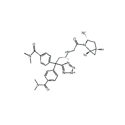 C[C@H](CC(c1ccc(C(=O)N(C)C)cc1)(c1ccc(C(=O)N(C)C)cc1)c1nn[nH]n1)NCC(=O)N1[C@H](C#N)C[C@@H]2C[C@@H]21